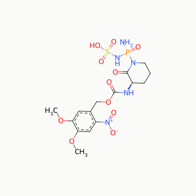 COc1cc(COC(=O)N[C@@H]2CCCN([P@](N)(=O)NS(=O)(=O)O)C2=O)c([N+](=O)[O-])cc1OC